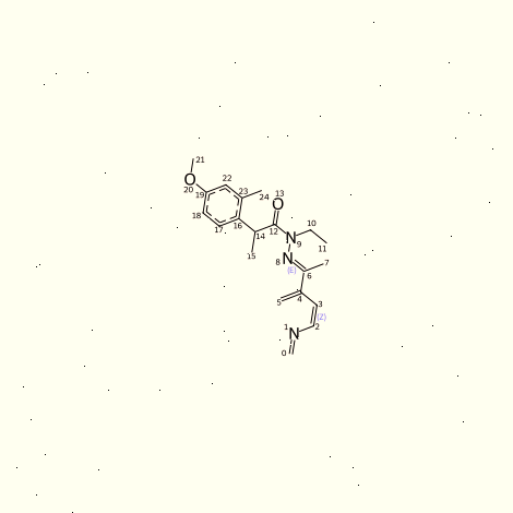 C=N/C=C\C(=C)/C(C)=N/N(CC)C(=O)C(C)c1ccc(OC)cc1C